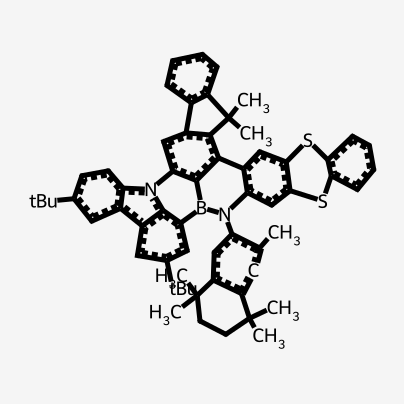 Cc1cc2c(cc1N1B3c4c(cc5c(c4-c4cc6c(cc41)Sc1ccccc1S6)C(C)(C)c1ccccc1-5)-n1c4ccc(C(C)(C)C)cc4c4cc(C(C)(C)C)cc3c41)C(C)(C)CCC2(C)C